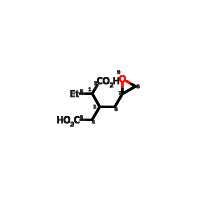 CCC(C(=O)O)C(CC(=O)O)CC1CO1